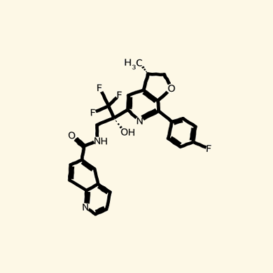 C[C@@H]1COc2c1cc([C@@](O)(CNC(=O)c1ccc3ncccc3c1)C(F)(F)F)nc2-c1ccc(F)cc1